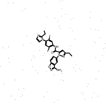 CCc1cc(C(=O)Nc2cc(F)c(-n3ccnc3CC)cc2F)n(-c2ccc3onc(N)c3c2)n1